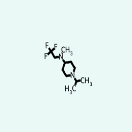 CC(C)N1CCC(N(C)CC(F)(F)F)CC1